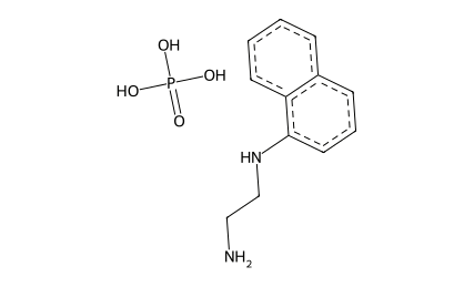 NCCNc1cccc2ccccc12.O=P(O)(O)O